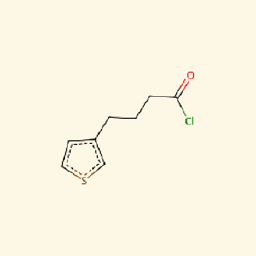 O=C(Cl)CCCc1ccsc1